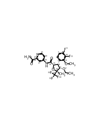 CCO[C@H]1[C@@H](c2ccc(F)c(F)c2OC)[C@H](C(=O)Nc2ccnc(C(N)=O)c2)O[C@@]1(C)C(F)(F)F